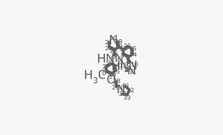 Cc1cc(Nc2nc3c(-c4nnc[nH]4)cccc3c3cnccc23)ccc1OCCN1CCCC1